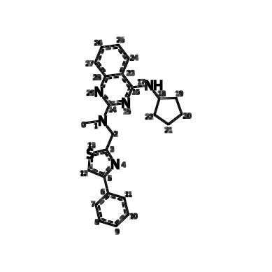 CN(Cc1nc(-c2ccccc2)cs1)c1nc(NC2CCCC2)c2ccccc2n1